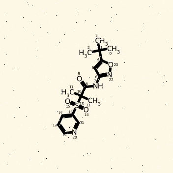 CC(C)(C)c1cc(NC(=O)C(C)(C)S(=O)(=O)c2cccnc2)no1